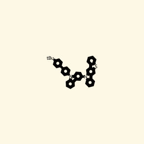 CC(C)(C)c1ccc(-c2ccc(-n3c4ccccc4c4cc(-n5c6ccccc6c6cc7sc8ccccc8c7cc65)ccc43)cc2)cc1